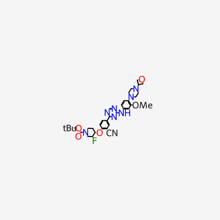 COc1cc(Nc2ncnc(-c3ccc(O[C@H]4CCN(C(=O)OC(C)(C)C)C[C@@H]4F)c(C#N)c3)n2)ccc1N1CCN(C2COC2)CC1